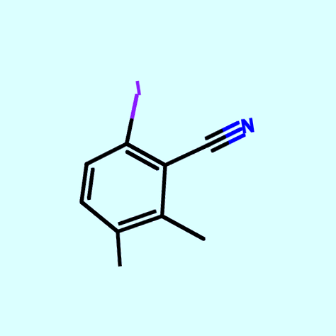 Cc1ccc(I)c(C#N)c1C